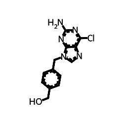 Nc1nc(Cl)c2ncn(Cc3ccc(CO)cc3)c2n1